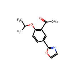 COC(=O)c1cc(-c2ncco2)ccc1OC(C)C(F)(F)F